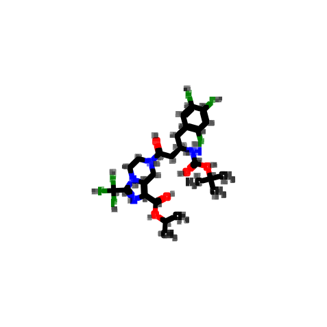 CC(C)OC(=O)c1nc(C(F)(F)F)n2c1CN(C(=O)C[C@@H](Cc1cc(F)c(F)cc1F)NC(=O)OC(C)(C)C)CC2